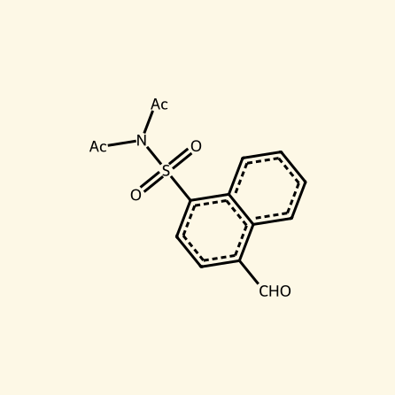 CC(=O)N(C(C)=O)S(=O)(=O)c1ccc(C=O)c2ccccc12